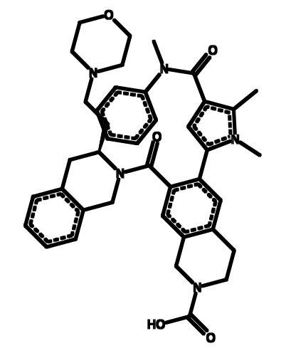 Cc1c(C(=O)N(C)c2ccccc2)cc(-c2cc3c(cc2C(=O)N2Cc4ccccc4C[C@H]2CCN2CCOCC2)CN(C(=O)O)CC3)n1C